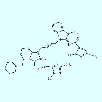 CCn1nc(C)cc1C(=O)/N=c1\n(C)c2ccccc2n1C/C=C/Cn1/c(=N/C(=O)c2cc(C)nn2CC)n(C)c2c(CN3CCCCC3)cccc21